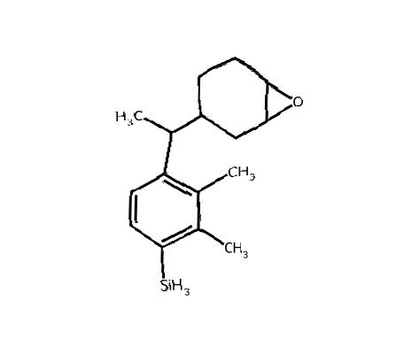 Cc1c([SiH3])ccc(C(C)C2CCC3OC3C2)c1C